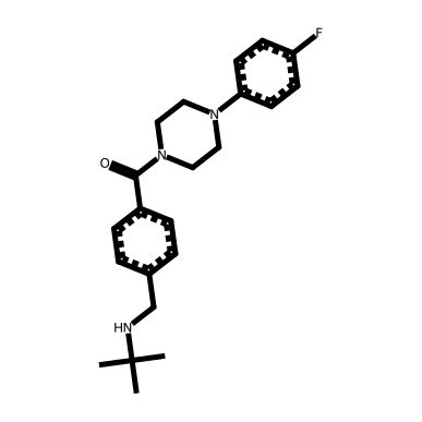 CC(C)(C)NCc1ccc(C(=O)N2CCN(c3ccc(F)cc3)CC2)cc1